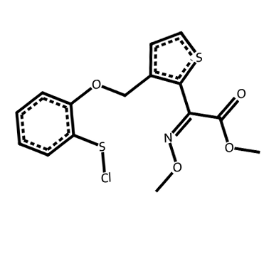 CON=C(C(=O)OC)c1sccc1COc1ccccc1SCl